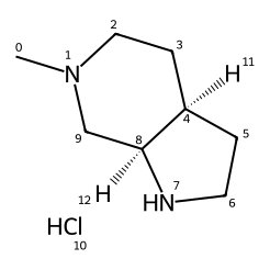 CN1CC[C@H]2CCN[C@H]2C1.Cl